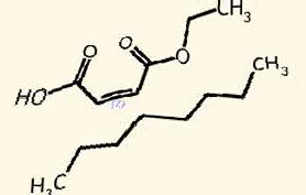 CCCCCCCC.CCOC(=O)/C=C\C(=O)O